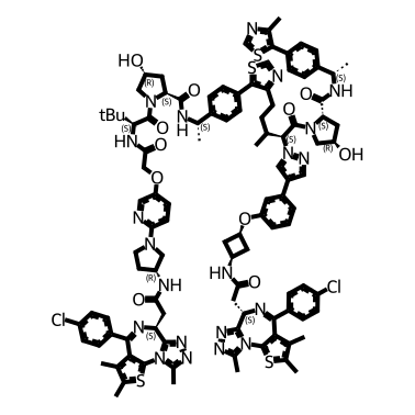 Cc1ncsc1-c1ccc([C@H](C)NC(=O)[C@@H]2C[C@@H](O)CN2C(=O)[C@H](C(C)CCc2ncsc2-c2ccc([C@H](C)NC(=O)[C@@H]3C[C@@H](O)CN3C(=O)[C@@H](NC(=O)COc3ccc(N4CC[C@@H](NC(=O)C[C@@H]5N=C(c6ccc(Cl)cc6)c6c(sc(C)c6C)-n6c(C)nnc65)C4)nc3)C(C)(C)C)cc2)n2cc(-c3cccc(O[C@H]4C[C@@H](NC(=O)C[C@@H]5N=C(c6ccc(Cl)cc6)c6c(sc(C)c6C)-n6c(C)nnc65)C4)c3)cn2)cc1